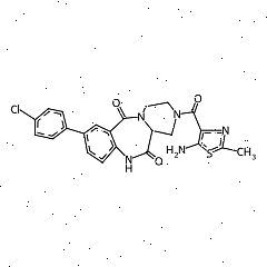 Cc1nc(C(=O)N2CCN3C(=O)c4cc(-c5ccc(Cl)cc5)ccc4NC(=O)C3C2)c(N)s1